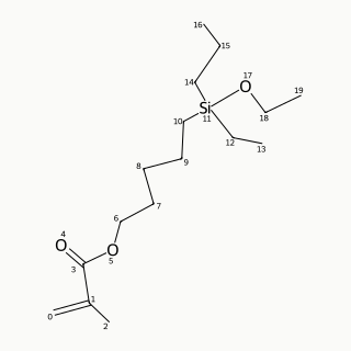 C=C(C)C(=O)OCCCCC[Si](CC)(CCC)OCC